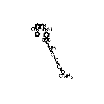 NC(=O)OCCOCCOCCOCCNCCCS(=O)(=O)N1CCC(Nc2ncc3ccc(=O)n(C4CCCC4)c3n2)CC1